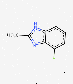 O=C(O)c1nc2c(F)cccc2[nH]1